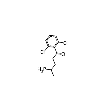 CC(P)CCC(=O)c1c(Cl)cccc1Cl